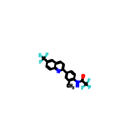 Cc1cc(-c2ccc3cc(C(F)(F)F)ccc3n2)ccc1NC(=O)C(F)(F)F